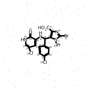 CC(C)n1c(Br)nc(C(=O)O)c1C(Nc1cc(Cl)c[nH]c1=O)c1ccc(Cl)cc1